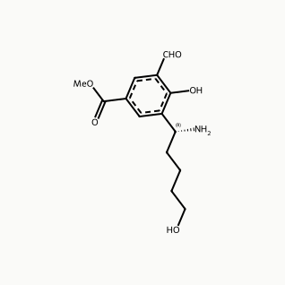 COC(=O)c1cc(C=O)c(O)c([C@H](N)CCCCO)c1